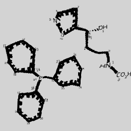 O=C(O)NCC[C@@H](O)c1ccno1.c1ccc(P(c2ccccc2)c2ccccc2)cc1